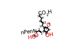 CCCCCC(C=C[C@H]1[C@H](O)CC(=O)[C@@H]1CC=CCCC(=O)O)OO